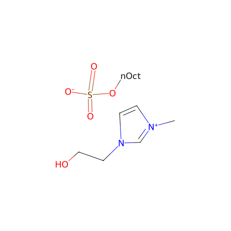 CCCCCCCCOS(=O)(=O)[O-].C[n+]1ccn(CCO)c1